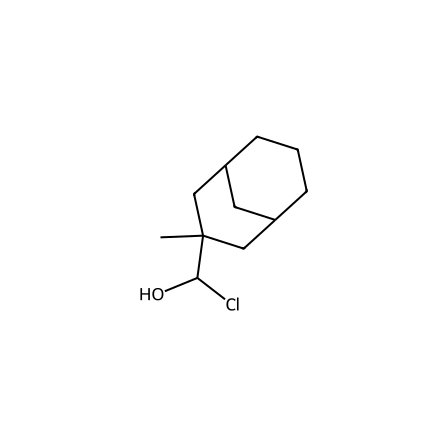 CC1(C(O)Cl)CC2CCCC(C2)C1